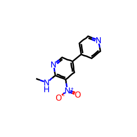 CNc1ncc(-c2ccncc2)cc1[N+](=O)[O-]